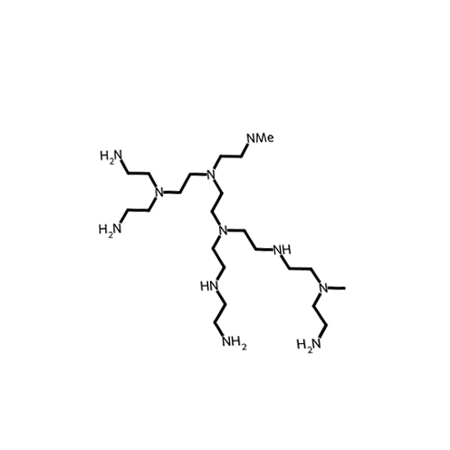 CNCCN(CCN(CCN)CCN)CCN(CCNCCN)CCNCCN(C)CCN